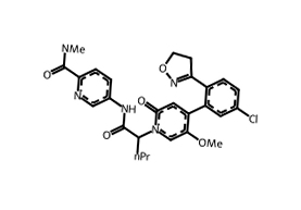 CCCC(C(=O)Nc1ccc(C(=O)NC)nc1)n1cc(OC)c(-c2cc(Cl)ccc2C2=NOCC2)cc1=O